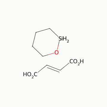 C1CC[SiH2]OC1.O=C(O)C=CC(=O)O